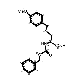 COc1ccc(CSC[C@H](NC(=O)OCc2ccccc2)C(=O)O)cc1